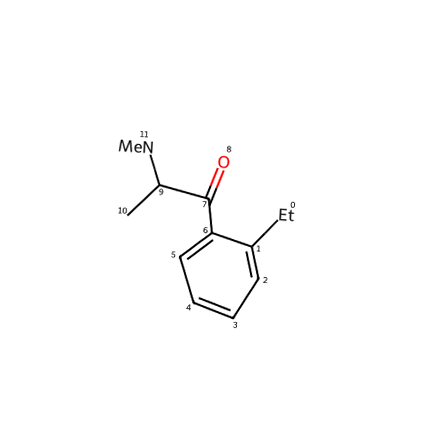 CCc1ccccc1C(=O)C(C)NC